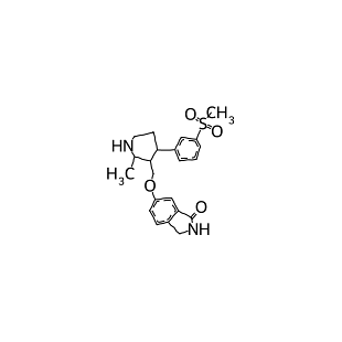 CC1NCCC(c2cccc(S(C)(=O)=O)c2)C1COc1ccc2c(c1)C(=O)NC2